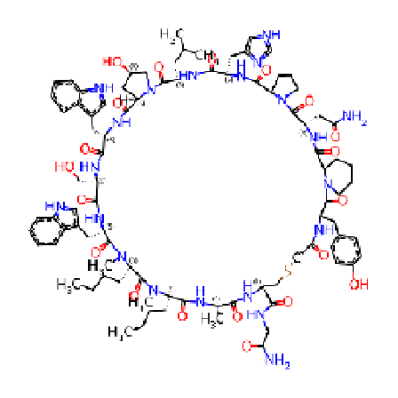 CCCC[C@H]1C(=O)N(C)[C@@H](CCCC)C(=O)N[C@@H](C)C(=O)N[C@H](C(=O)NCC(N)=O)CSCC(=O)NC(Cc2ccc(O)cc2)C(=O)N2CCCCC2C(=O)N[C@@H](CC(N)=O)C(=O)N2CCCC2C(=O)N[C@@H](Cc2c[nH]cn2)C(=O)N[C@@H](CC(C)C)C(=O)N2C[C@H](O)C[C@H]2C(=O)N[C@@H](Cc2c[nH]c3ccccc23)C(=O)N[C@@H](CO)C(=O)N[C@@H](Cc2c[nH]c3ccccc23)C(=O)N1C